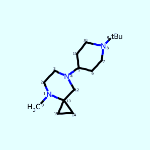 CN1CCN(C2CCN(C(C)(C)C)CC2)CC12CC2